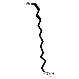 CCCC/C=C\C=C\CCCCCCCCCC(=O)O